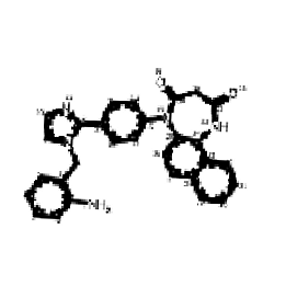 Nc1ccccc1Cn1ccnc1-c1ccc(N2C(=O)CC(=O)Nc3c2ccc2ccccc32)cc1